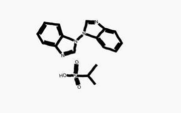 CC(C)S(=O)(=O)O.c1ccc2c(c1)ncn2-n1cnc2ccccc21